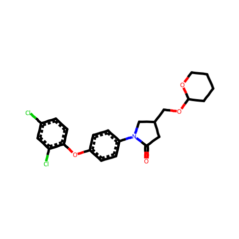 O=C1CC(COC2CCCCO2)CN1c1ccc(Oc2ccc(Cl)cc2Cl)cc1